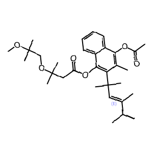 COC(C)(C)COC(C)(C)CC(=O)Oc1c(C(C)(C)/C=C(\C)C(C)C)c(C)c(OC(C)=O)c2ccccc12